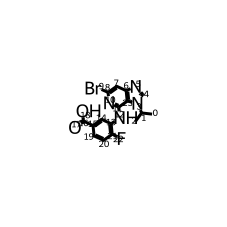 CC(C)n1cnc2cc(Br)nc(Nc3cc(C(=O)O)ccc3F)c21